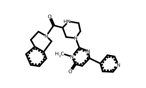 Cn1c(N2CCNC(C(=O)N3CCc4ccccc4C3)C2)nc(-c2ccncc2)cc1=O